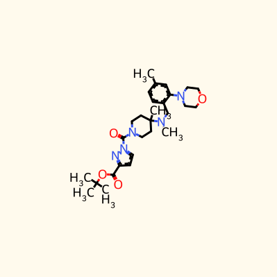 Cc1ccc(CN(C)C2(C)CCN(C(=O)n3ccc(C(=O)OC(C)(C)C)n3)CC2)c(N2CCOCC2)c1